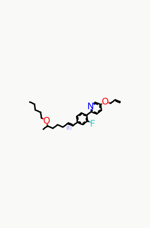 C=CCOc1ccc(-c2ccc(/C=C/CCCC(C)OCCCCC)cc2F)nc1